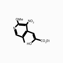 CCOC(=O)/C(O)=C/c1c(C)cnc(OC)c1[N+](=O)[O-]